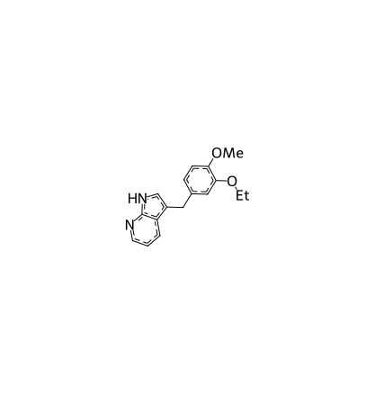 CCOc1cc(Cc2c[nH]c3ncccc23)ccc1OC